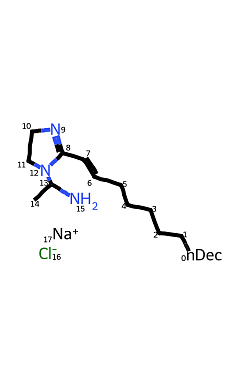 CCCCCCCCCCCCCCCC=CC1=NCCN1C(C)N.[Cl-].[Na+]